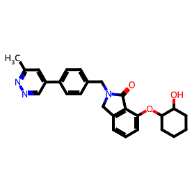 Cc1cc(-c2ccc(CN3Cc4cccc(OC5CCCCC5O)c4C3=O)cc2)cnn1